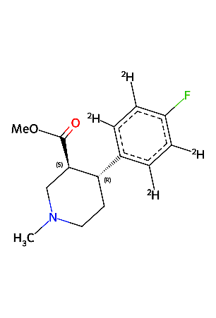 [2H]c1c([2H])c([C@@H]2CCN(C)C[C@H]2C(=O)OC)c([2H])c([2H])c1F